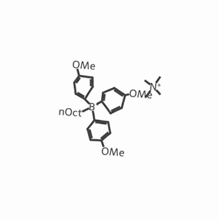 CCCCCCCC[B-](c1ccc(OC)cc1)(c1ccc(OC)cc1)c1ccc(OC)cc1.C[N+](C)(C)C